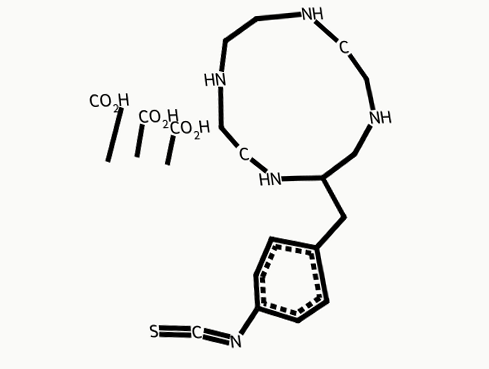 CC(=O)O.CC(=O)O.CC(=O)O.S=C=Nc1ccc(CC2CNCCNCCNCCN2)cc1